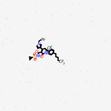 CC(C)Cn1ccc(C2=C(C(=O)NS(=O)(=O)C3CC3)C(=O)N[C@@](c3ccc(CCCCC(F)(F)F)cc3F)(C(F)(F)F)C2)c1